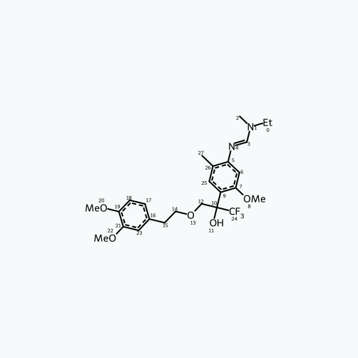 CCN(C)C=Nc1cc(OC)c(C(O)(COCCc2ccc(OC)c(OC)c2)C(F)(F)F)cc1C